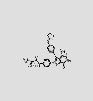 C=C(C)C(=O)Nc1ccc(-n2nc3c(=O)[nH]nc(N)c3c2-c2ccc(OC3CCCC3)cc2)cc1